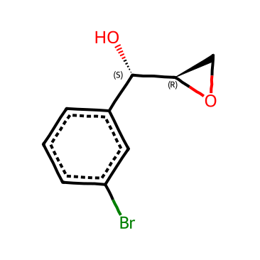 O[C@@H](c1cccc(Br)c1)[C@H]1CO1